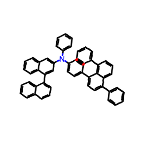 c1ccc(-c2ccc(-c3ccc(N(c4ccccc4)c4cc(-c5cccc6ccccc56)c5ccccc5c4)cc3)c3c(-c4ccccc4)cccc23)cc1